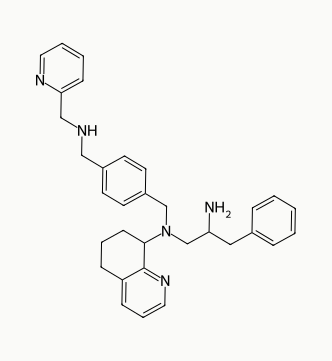 NC(Cc1ccccc1)CN(Cc1ccc(CNCc2ccccn2)cc1)C1CCCc2cccnc21